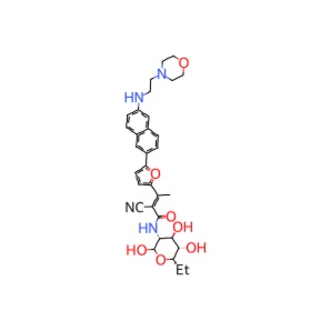 CC[C@H]1OC(O)[C@H](NC(=O)/C(C#N)=C(\C)c2ccc(-c3ccc4cc(NCCN5CCOCC5)ccc4c3)o2)[C@@H](O)[C@@H]1O